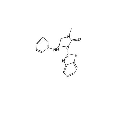 CN1CC(Nc2ccccc2)N(c2nc3ccccc3s2)C1=O